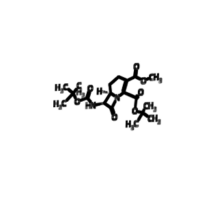 COC(=O)C1=C(C(=O)OC(C)(C)C)N2C(=O)[C@@H](NC(=O)OC(C)(C)C)[C@H]2CC1